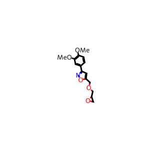 COc1ccc(-c2cc(COCC3CO3)on2)cc1OC